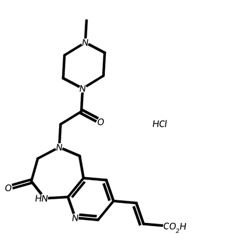 CN1CCN(C(=O)CN2CC(=O)Nc3ncc(C=CC(=O)O)cc3C2)CC1.Cl